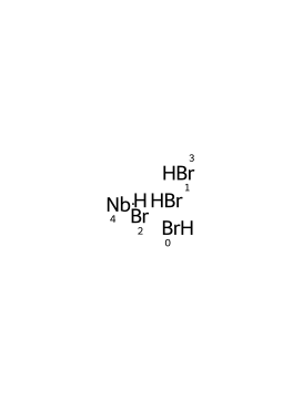 Br.Br.Br.Br.[Nb]